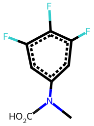 CN(C(=O)O)c1cc(F)c(F)c(F)c1